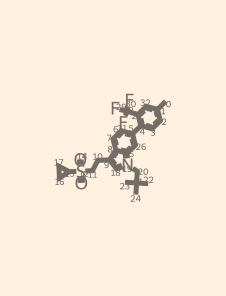 Cc1ccc(-c2ccc3c(CCS(=O)(=O)C4CC4)cn(CC(C)(C)C)c3c2)c(C(F)(F)F)c1